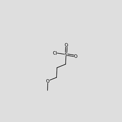 COCCCS(=O)(=O)Cl